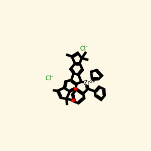 CC1=CC(C)(C)c2cc3c(cc21)-c1cc2c(cc1[CH]3[Zr+2]([C]1=CC=CC1)=[C](c1ccccc1)c1ccccc1)C(C)(C)C=C2C.[Cl-].[Cl-]